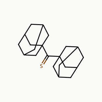 S=C(C12CC3CC(CC(C3)C1)C2)C12CC3CC(CC(C3)C1)C2